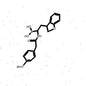 COc1ccc(CC(=O)NC(CC2COc3ccccc32)B(O)O)cc1